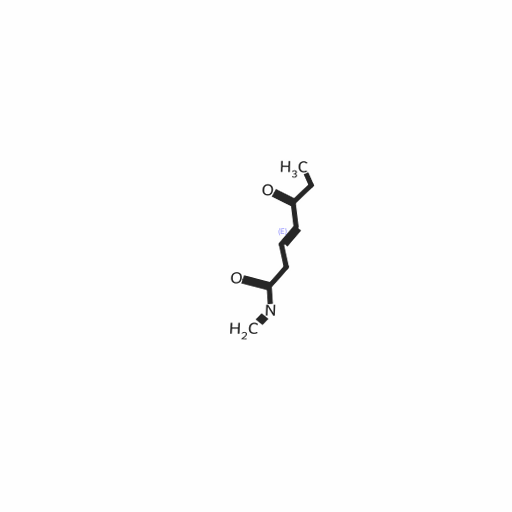 C=NC(=O)C/C=C/C(=O)CC